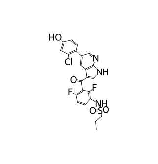 CCCS(=O)(=O)Nc1ccc(F)c(C(=O)c2c[nH]c3ncc(-c4ccc(O)cc4Cl)cc23)c1F